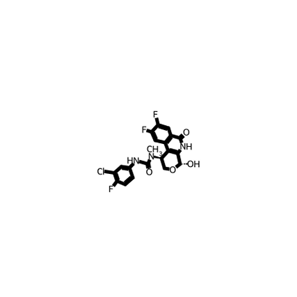 CN(C(=O)Nc1ccc(F)c(Cl)c1)[C@@H]1CO[C@@H](O)c2[nH]c(=O)c3cc(F)c(F)cc3c21